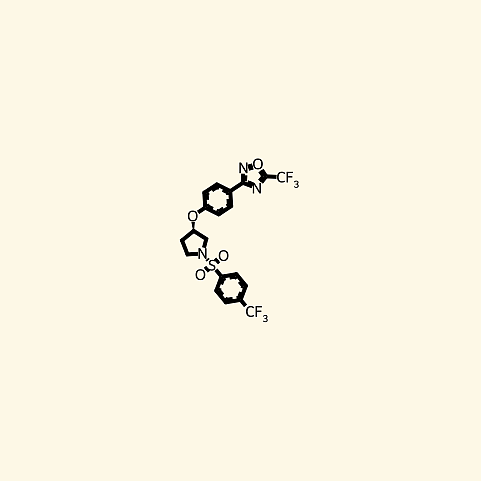 O=S(=O)(c1ccc(C(F)(F)F)cc1)N1CC[C@@H](Oc2ccc(-c3noc(C(F)(F)F)n3)cc2)C1